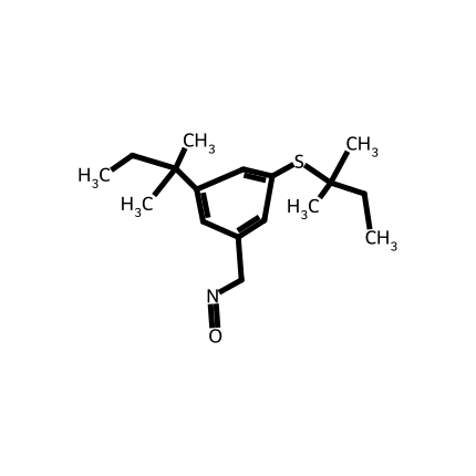 CCC(C)(C)Sc1cc(CN=O)cc(C(C)(C)CC)c1